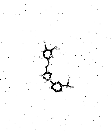 Cc1nc(OCc2cn(-c3cccc(C(F)F)c3)nn2)ncc1Cl